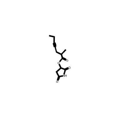 CCC#CCC(C)C(=O)OC1CC(=O)NC1=O